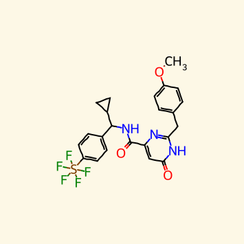 COc1ccc(Cc2nc(C(=O)NC(c3ccc(S(F)(F)(F)(F)F)cc3)C3CC3)cc(=O)[nH]2)cc1